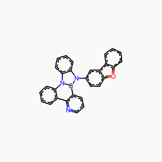 c1cnc2c(c1)B1N(c3ccc4oc5ccccc5c4c3)c3ccccc3N1c1ccccc1-2